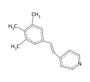 Cc1cc(C=Cc2ccncc2)cc(C)c1C